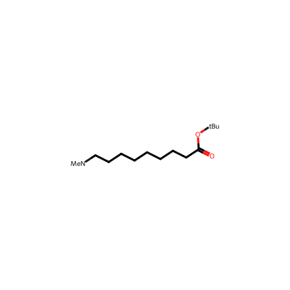 CNCCCCCCCCC(=O)OC(C)(C)C